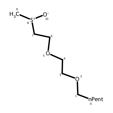 CCCCCCOCCOCC[S+](C)[O-]